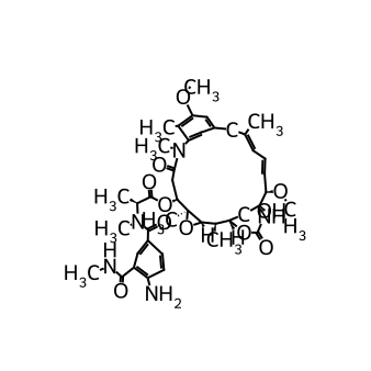 CNC(=O)c1cc(C(=O)N(C)[C@@H](C)C(=O)O[C@H]2CC(=O)N(C)c3cc(cc(OC)c3C)C/C(C)=C/C=C/[C@@H](OC)[C@@]3(O)C[C@H](OC(=O)N3)[C@@H](C)[C@@H]3O[C@@]23C)ccc1N